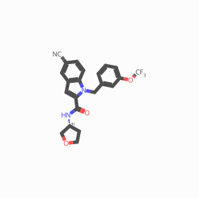 N#Cc1ccc2c(c1)cc(C(=O)N[C@@H]1CCOC1)n2Cc1cccc(OC(F)(F)F)c1